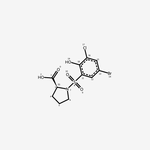 O=C(O)[C@@H]1CCCN1S(=O)(=O)c1cc(Br)cc(Cl)c1O